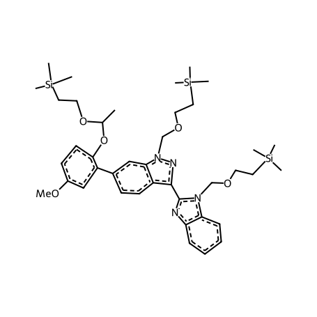 COc1ccc(OC(C)OCC[Si](C)(C)C)c(-c2ccc3c(-c4nc5ccccc5n4COCC[Si](C)(C)C)nn(COCC[Si](C)(C)C)c3c2)c1